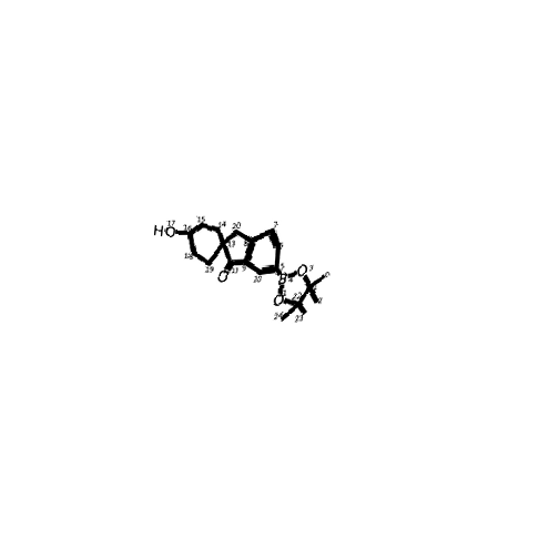 CC1(C)OB(c2ccc3c(c2)C(=O)C2(CCC(O)CC2)C3)OC1(C)C